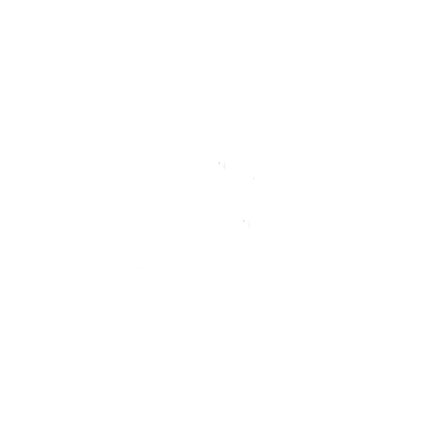 COC(=O)c1ccc2[nH]c(=O)c(-c3ccccc3)nc2c1